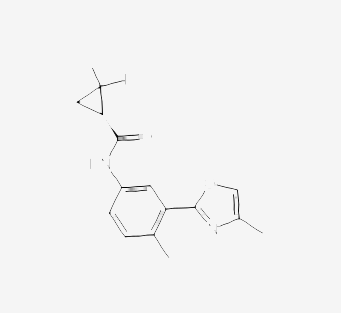 Cc1coc(-c2cc(NC(=O)[C@H]3CC3(F)F)ccc2C)n1